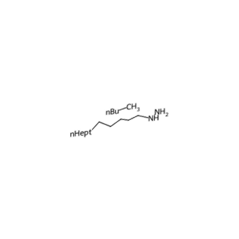 CCCCC.CCCCCCCCCCCCNN